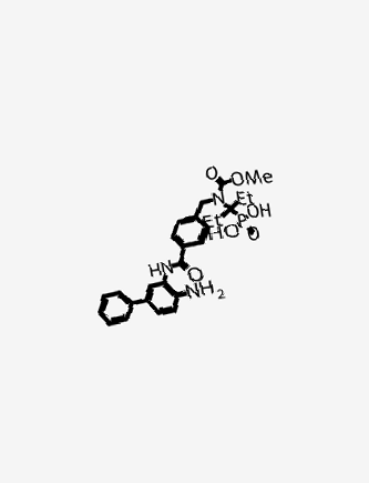 CCC(CC)(N(Cc1ccc(C(=O)Nc2cc(-c3ccccc3)ccc2N)cc1)C(=O)OC)P(=O)(O)O